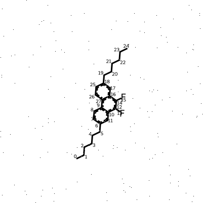 CCCCCCc1ccc2c(c1)c(F)c(F)c1cc(CCCCCC)ccc12